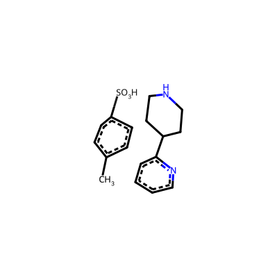 Cc1ccc(S(=O)(=O)O)cc1.c1ccc(C2CCNCC2)nc1